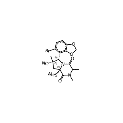 CS[C@@]12C[C@](C)(C#N)[C@H](c3c(Br)ccc4c3OCO4)N1C(=O)C(C)N(C)C2=O